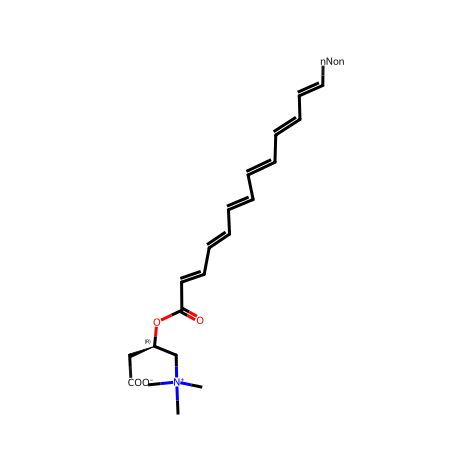 CCCCCCCCCC=CC=CC=CC=CC=CC=CC(=O)O[C@H](CC(=O)[O-])C[N+](C)(C)C